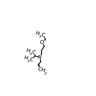 C=CCN(CCCOCC)C(C)C